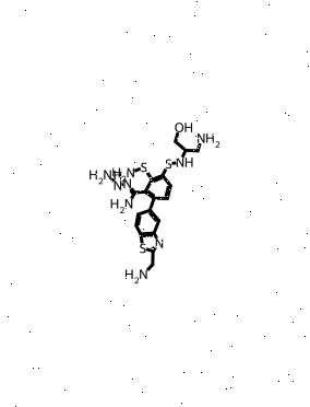 NCc1nc2cc(-c3ccc(SNC(CN)CO)c(SN)c3/C(N)=N/NN)ccc2s1